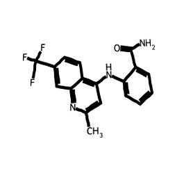 Cc1cc(Nc2ccccc2C(N)=O)c2ccc(C(F)(F)F)cc2n1